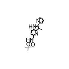 Cc1c(-c2ccccn2)[nH]c2ccc(CNC(=O)OC(C)(C)C)nc12